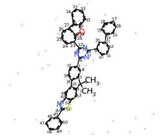 CC1(C)c2cc(-c3nc(-c4cccc(-c5ccccc5)c4)nc(-c4cccc5c4oc4ccccc45)n3)ccc2-c2cc3nc(-c4ccccc4)sc3cc21